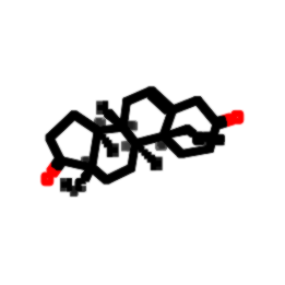 COC[C@]12CCC(=O)CC1=CC[C@@H]1[C@@H]2CC[C@]2(C)C(=O)CC[C@@H]12